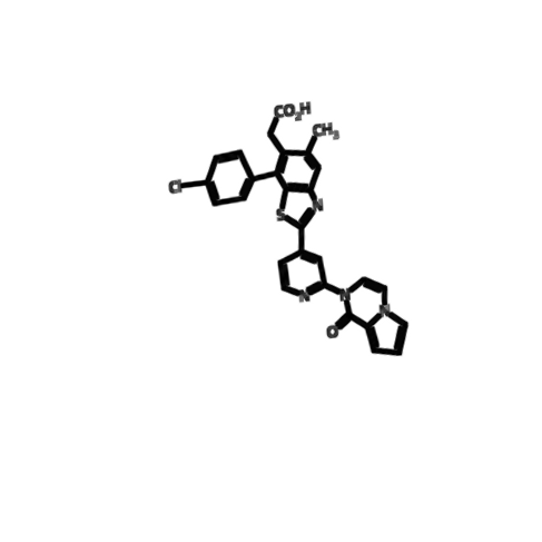 Cc1cc2nc(-c3ccnc(-n4ccn5cccc5c4=O)c3)sc2c(-c2ccc(Cl)cc2)c1CC(=O)O